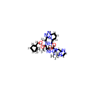 CN(Cc1nccn1C)C(=O)OCc1cccc2nnc([C@@H](COCc3ccccc3)NC(=O)C(C)(C)N)n12